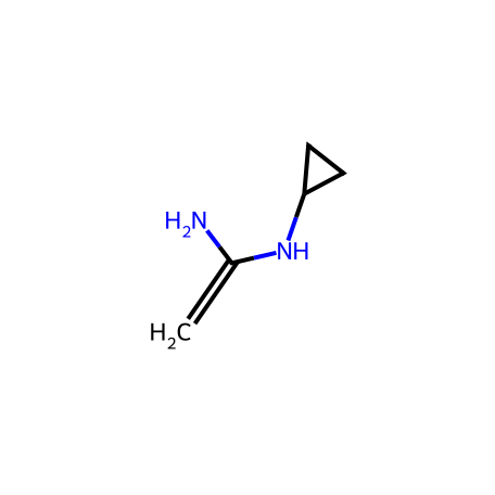 C=C(N)NC1CC1